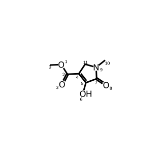 COC(=O)C1=C(O)C(=O)N(C)C1